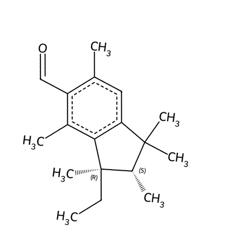 CC[C@@]1(C)c2c(cc(C)c(C=O)c2C)C(C)(C)[C@@H]1C